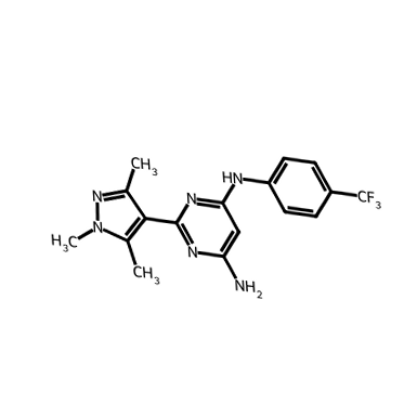 Cc1nn(C)c(C)c1-c1nc(N)cc(Nc2ccc(C(F)(F)F)cc2)n1